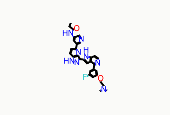 CCC(=O)Nc1cncc(-c2ccc3[nH]nc(-c4cc5c(-c6cc(F)cc(OCCN(C)C)c6)nccc5[nH]4)c3n2)c1